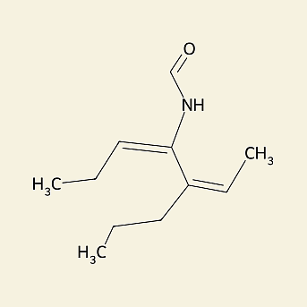 C/C=C(CCC)\C(=C/CC)NC=O